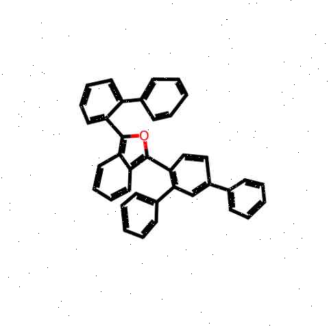 c1ccc(-c2ccc(-c3oc(-c4ccccc4-c4ccccc4)c4ccccc34)c(-c3ccccc3)c2)cc1